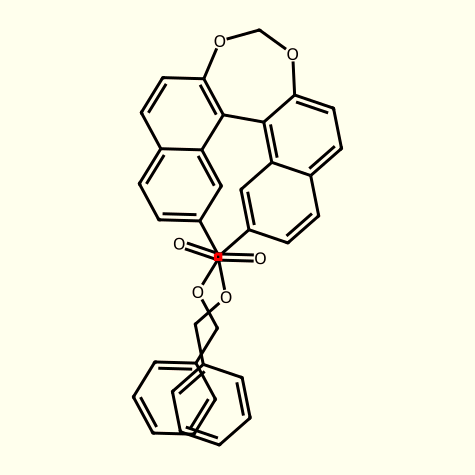 O=C(OCc1ccccc1)c1ccc2ccc3c(c2c1)-c1c(ccc2ccc(C(=O)OCc4ccccc4)cc12)OCO3